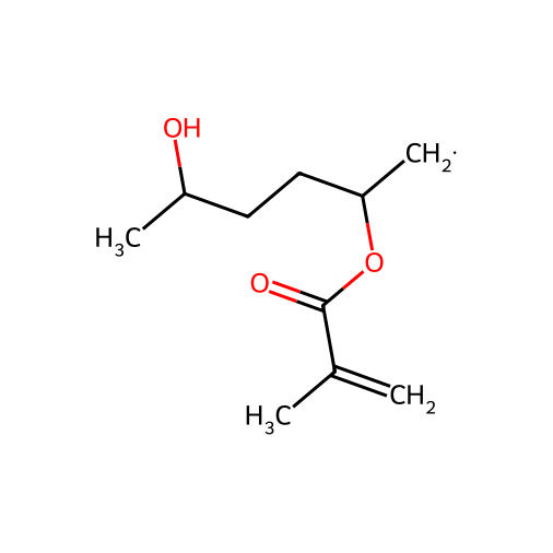 [CH2]C(CCC(C)O)OC(=O)C(=C)C